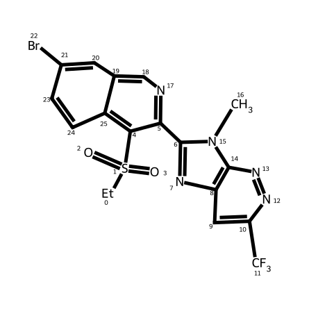 CCS(=O)(=O)c1c(-c2nc3cc(C(F)(F)F)nnc3n2C)ncc2cc(Br)ccc12